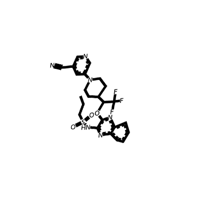 CCCS(=O)(=O)Nc1nc2ccccc2nc1OC(C1CCN(c2cncc(C#N)c2)CC1)C(F)(F)F